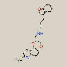 Cc1ccc2c3c(ccc2n1)OCC(CNCCCCc1coc2ccccc12)O3